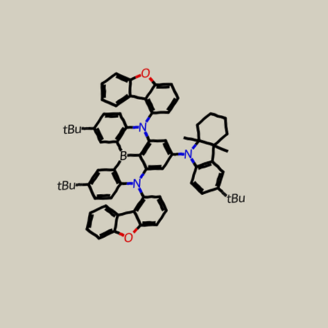 CC(C)(C)c1ccc2c(c1)B1c3cc(C(C)(C)C)ccc3N(c3cccc4oc5ccccc5c34)c3cc(N4c5ccc(C(C)(C)C)cc5C5(C)CCCCC45C)cc(c31)N2c1cccc2oc3ccccc3c12